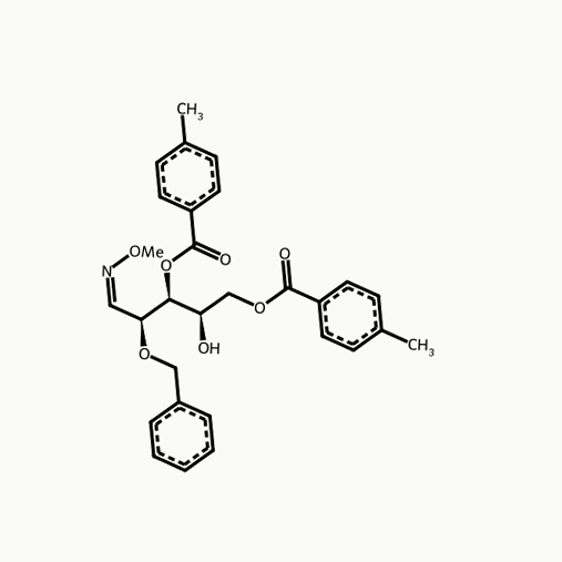 CO/N=C\[C@H](OCc1ccccc1)[C@@H](OC(=O)c1ccc(C)cc1)[C@H](O)COC(=O)c1ccc(C)cc1